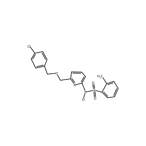 Cc1ccccc1S(=O)(=O)N(Cl)c1cccc(COCc2ccc(Cl)cc2)n1